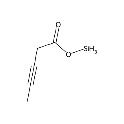 CC#CCC(=O)O[SiH3]